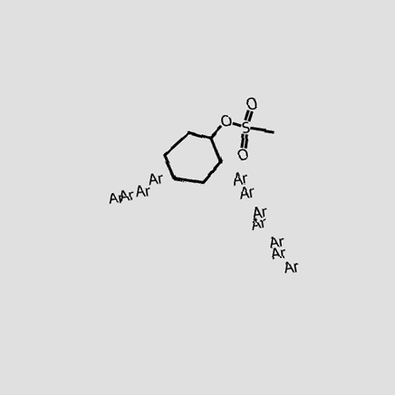 CS(=O)(=O)OC1CCCCC1.[Ar].[Ar].[Ar].[Ar].[Ar].[Ar].[Ar].[Ar].[Ar].[Ar].[Ar]